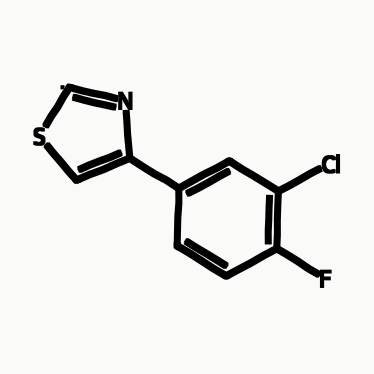 Fc1ccc(-c2cs[c]n2)cc1Cl